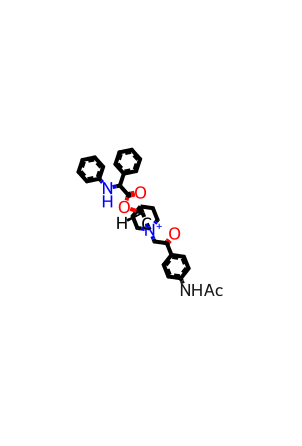 CC(=O)Nc1ccc(C(=O)C[N+]23CCC(CC2)[C@@H](OC(=O)C(Nc2ccccc2)c2ccccc2)C3)cc1